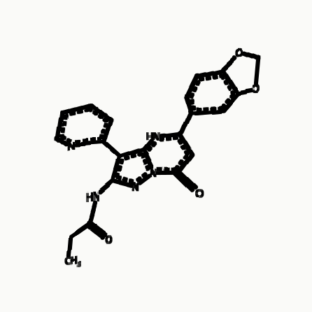 CCC(=O)Nc1nn2c(=O)cc(-c3ccc4c(c3)OCO4)[nH]c2c1-c1ccccn1